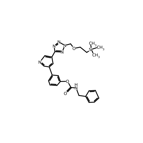 C[Si](C)(C)CCOCn1nnc(-c2cncc(-c3cccc(OC(=O)NCc4ccccc4)c3)c2)n1